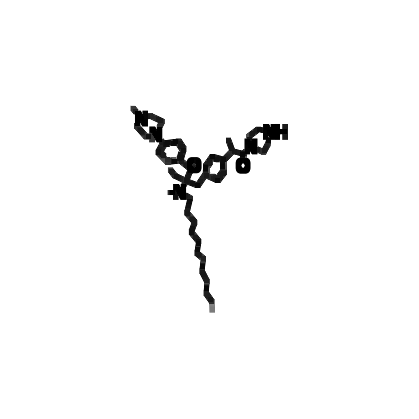 CCCCCCCCCCCCN(C)C(CC)(Cc1ccc(C(C)C(=O)N2CCNCC2)cc1)C(=O)c1ccc(N2CCN(C)CC2)cc1